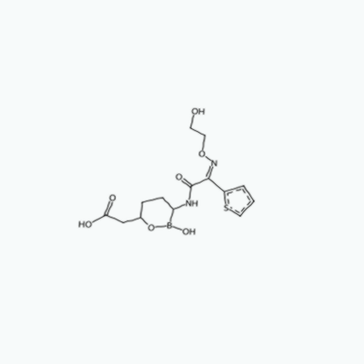 O=C(O)CC1CCC(NC(=O)/C(=N\OCCO)c2cccs2)B(O)O1